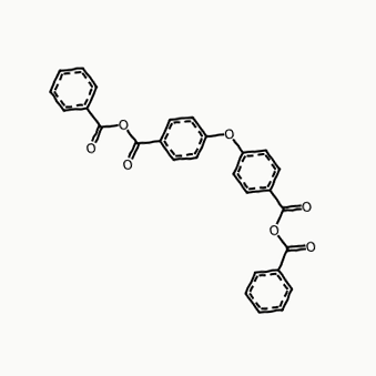 O=C(OC(=O)c1ccc(Oc2ccc(C(=O)OC(=O)c3ccccc3)cc2)cc1)c1ccccc1